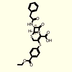 CCOC(=O)c1ccc(SC2=C(C(=O)O)N3C(=O)[C@@H](NC(=O)Cc4ccccc4)[C@@H]3SC2)cc1